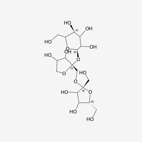 OCC1O[C@H](O[C@]2(CO[C@]3(CO)O[C@H](CO)C(O)C3O)OCC(O)C2O)C(O)C(O)[C@@H]1O